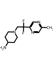 Cc1cnc(C(F)(F)CN2CCC(N)CC2)cn1